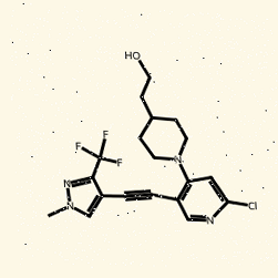 Cn1cc(C#Cc2cnc(Cl)cc2N2CCC(CCO)CC2)c(C(F)(F)F)n1